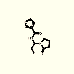 CCC(NC(=O)c1[c]scc1)N1CCCC1=O